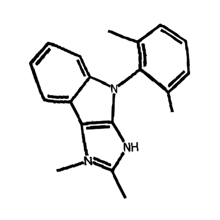 Cc1cccc(C)c1-n1c2ccccc2c2c1[nH]c(C)[n+]2C